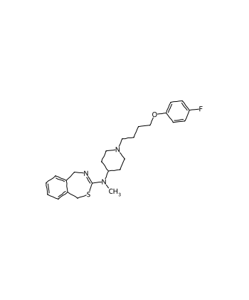 CN(C1=NCc2ccccc2CS1)C1CCN(CCCCOc2ccc(F)cc2)CC1